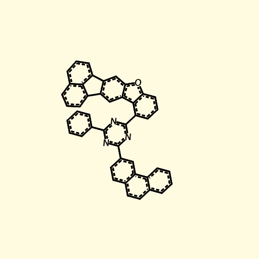 c1ccc(-c2nc(-c3ccc4ccc5ccccc5c4c3)nc(-c3cccc4oc5cc6c(cc5c34)-c3cccc4cccc-6c34)n2)cc1